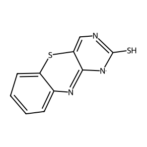 SC1=NC=C2Sc3ccccc3N=C2[N]1